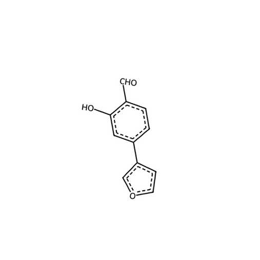 O=Cc1ccc(-c2ccoc2)cc1O